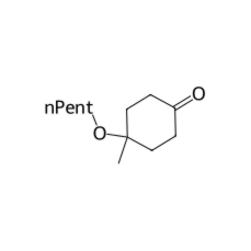 CCCCCOC1(C)CCC(=O)CC1